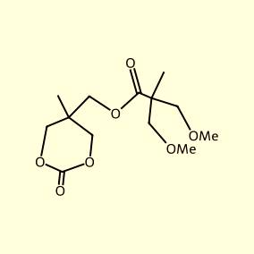 COCC(C)(COC)C(=O)OCC1(C)COC(=O)OC1